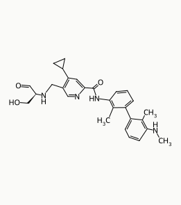 CNc1cccc(-c2cccc(NC(=O)c3cc(C4CC4)c(CN[C@H](C=O)CO)cn3)c2C)c1C